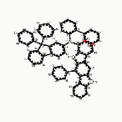 c1ccc(-c2ccccc2N(c2ccc3c(c2)C(c2ccccc2)(c2ccccc2)c2ccccc2-3)c2cccc3c2oc2c(-c4ccccc4)c4c(cc23)oc2ccccc24)cc1